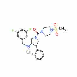 CN(Cc1cc(F)cc(F)c1)C1CN(C(=O)N2CCN(S(C)(=O)=O)CC2)CC1c1ccccc1